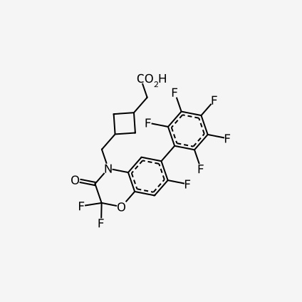 O=C(O)CC1CC(CN2C(=O)C(F)(F)Oc3cc(F)c(-c4c(F)c(F)c(F)c(F)c4F)cc32)C1